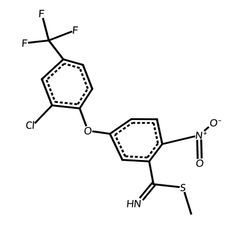 CSC(=N)c1cc(Oc2ccc(C(F)(F)F)cc2Cl)ccc1[N+](=O)[O-]